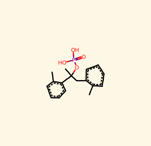 Cc1ccccc1CC(C)(OP(=O)(O)O)c1ccccc1C